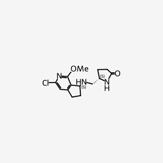 COc1nc(Cl)cc2c1[C@@H](NC[C@@H]1CCC(=O)N1)CC2